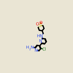 Nc1cc(-c2cccc(NCC3CCS(=O)(=O)CC3)n2)c(Cl)cn1